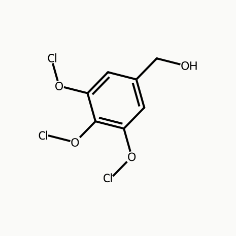 OCc1cc(OCl)c(OCl)c(OCl)c1